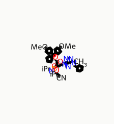 COc1ccc(C(OC[C@H]2O[C@@H](n3cnc4c(N(C)Cc5ccccc5)ncnc43)C[C@@H]2OP(OCCC#N)N(C(C)C)C(C)C)(c2ccccc2)c2ccc(OC)cc2)cc1